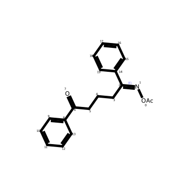 CC(=O)O/N=C(\CCCC(=O)c1ccccc1)c1ccccc1